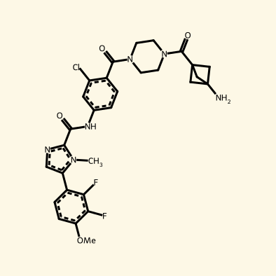 COc1ccc(-c2cnc(C(=O)Nc3ccc(C(=O)N4CCN(C(=O)C56CC(N)(C5)C6)CC4)c(Cl)c3)n2C)c(F)c1F